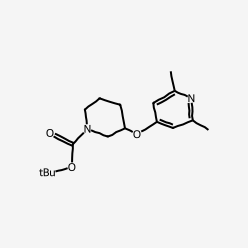 Cc1cc(OC2CCCN(C(=O)OC(C)(C)C)C2)cc(C)n1